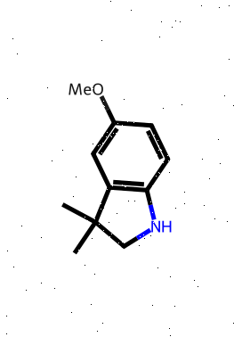 COc1ccc2c(c1)C(C)(C)CN2